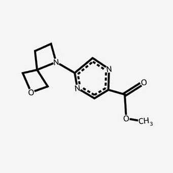 COC(=O)c1cnc(N2CCC23COC3)cn1